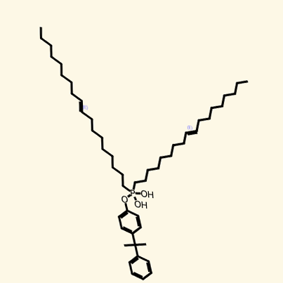 CCCCCCCC/C=C/CCCCCCCCP(O)(O)(CCCCCCCC/C=C/CCCCCCCC)Oc1ccc(C(C)(C)c2ccccc2)cc1